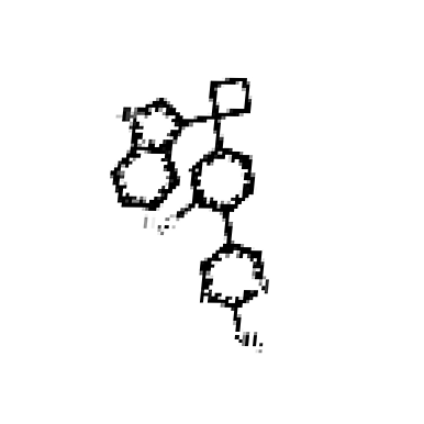 Cc1cc(C2(c3c[nH]c4ccccc34)CCC2)ccc1-c1cnc(N)nc1